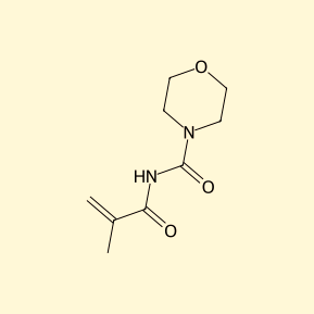 C=C(C)C(=O)NC(=O)N1CCOCC1